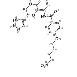 O=C(Nc1cccc2c1OC(c1nnn[nH]1)CO2)c1ccc(OCCCC[N+](=O)[O-])cc1